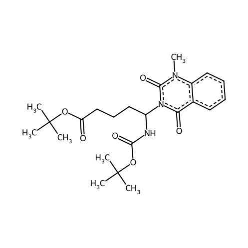 Cn1c(=O)n(C(CCCC(=O)OC(C)(C)C)NC(=O)OC(C)(C)C)c(=O)c2ccccc21